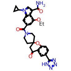 CCOc1cc(C(=O)N2CCC3(CC2)CC(=O)c2cc(-c4nnn[nH]4)ccc2O3)cc2c1c(C(N)=O)cn2C1CC1